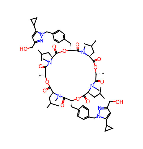 CC(C)C[C@H]1C(=O)O[C@H](Cc2ccc(Cn3nc(CO)cc3C3CC3)cc2)C(=O)N(C)[C@@H](CC(C)C)C(=O)O[C@H](C)C(=O)N(C)[C@@H](CC(C)C)C(=O)O[C@H](Cc2ccc(Cn3nc(CO)cc3C3CC3)cc2)C(=O)N(C)[C@@H](CC(C)C)C(=O)O[C@H](C)C(=O)N1C